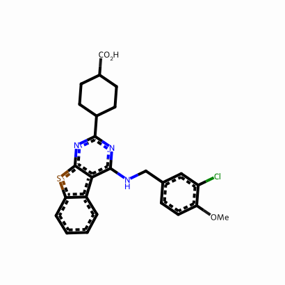 COc1ccc(CNc2nc(C3CCC(C(=O)O)CC3)nc3sc4ccccc4c23)cc1Cl